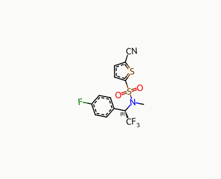 CN([C@H](c1ccc(F)cc1)C(F)(F)F)S(=O)(=O)c1ccc(C#N)s1